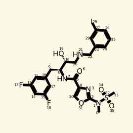 CN(c1nc(C(=O)N[C@@H](Cc2cc(F)cc(F)c2)[C@H](O)CNCc2cccc(I)c2)co1)S(C)(=O)=O